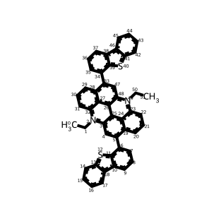 CCn1c2cc(-c3cccc4c3sc3ccccc34)c3cccc4c3c2-c2c3c(cccc31)c(-c1cccc3c1sc1ccccc13)cc2n4CC